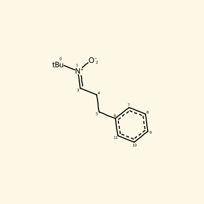 CC(C)(C)[N+]([O-])=CCCc1ccccc1